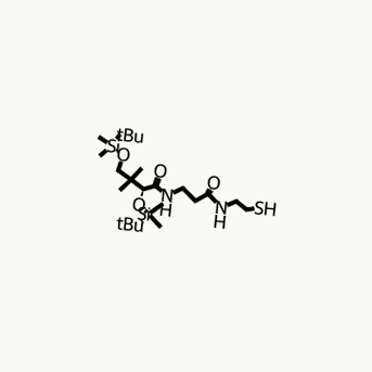 CC(C)(CO[Si](C)(C)C(C)(C)C)[C@@H](O[Si](C)(C)C(C)(C)C)C(=O)NCCC(=O)NCCS